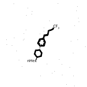 CCCCCC[C@H]1CC[C@H](c2ccc(C=CCCC(F)(F)F)cc2)CC1